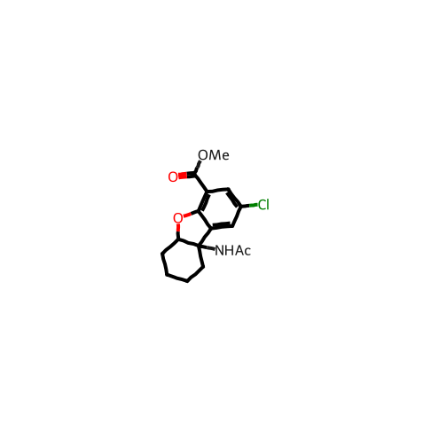 COC(=O)c1cc(Cl)cc2c1OC1CCCCC21NC(C)=O